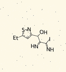 CCc1cc(C(O)C(=N)C(=N)I)ns1